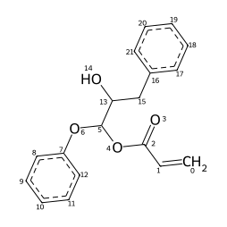 C=CC(=O)OC(Oc1ccccc1)C(O)Cc1ccccc1